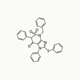 O=C1c2c(nc(Sc3ccccc3)n2-c2ccccc2)N(Cc2ccccc2)S(=O)(=O)C1c1ccccc1